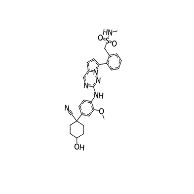 CNS(=O)(=O)Cc1ccccc1-c1ccc2cnc(Nc3ccc(C4(C#N)CCC(O)CC4)cc3OC)nn12